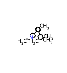 C=C1CC(c2cc(C)ccc2C2=CCN(CCC)CC2)CC(C)(C)C1